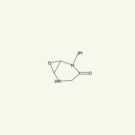 CC(C)N1C(=O)CNC2OC21